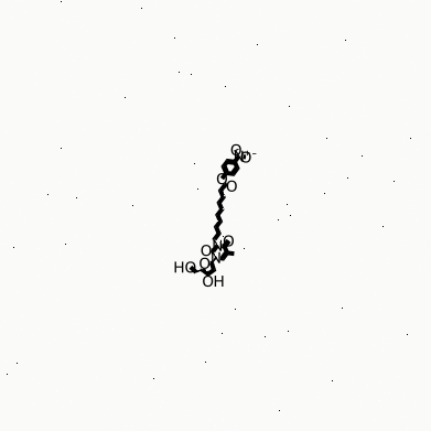 Cc1cn([C@H]2C[C@H](O)[C@@H](CO)O2)c(=O)n(CCCCCCCCCC(=O)Oc2ccc([N+](=O)[O-])cc2)c1=O